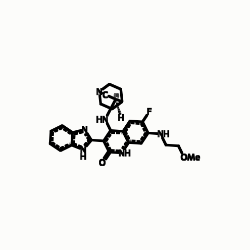 COCCNc1cc2[nH]c(=O)c(-c3nc4ccccc4[nH]3)c(N[C@H]3CN4CCC3CC4)c2cc1F